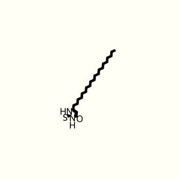 CCCCCCCCCCCCCCCCCCCCc1cc(=O)[nH]c(=S)[nH]1